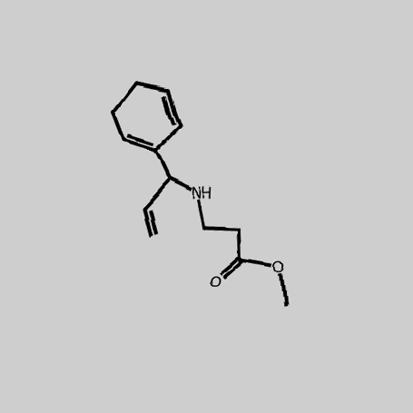 C=CC(NCCC(=O)OC)C1=CCCC=C1